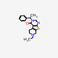 CCN1CCc2c(sc3ncn([C@H](C)c4ccccc4)c(=O)c23)C1